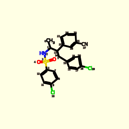 CC(NS(=O)(=O)c1ccc(Cl)cc1)C(Cc1ccc(Cl)cc1)c1cccc(C#N)c1